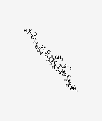 C=CC(=O)OCCCOc1ccc(C(=O)Oc2ccc(OC(=O)c3ccc(OCCCOC(=O)C=C)c(C)c3)c(C)c2)cc1